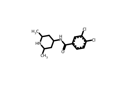 CC1CC(NC(=O)c2ccc(Cl)c(Cl)c2)CC(C)N1